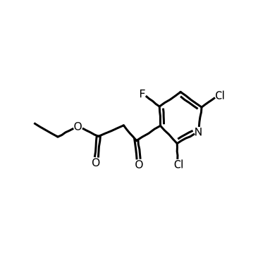 CCOC(=O)CC(=O)c1c(F)cc(Cl)nc1Cl